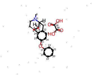 CN1CC[C@]23CCCC[C@H]2[C@H]1Cc1ccc(Oc2ccccc2)cc13.O=C(O)C(=O)O